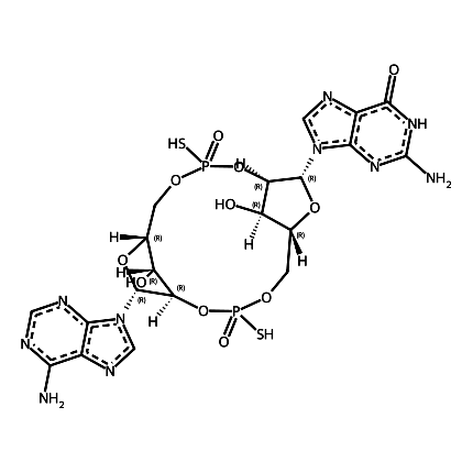 Nc1nc2c(ncn2[C@@H]2O[C@@H]3COP(=O)(S)O[C@@H]4[C@H](O)[C@@H](COP(=O)(S)O[C@@H]2[C@@H]3O)O[C@H]4n2cnc3c(N)ncnc32)c(=O)[nH]1